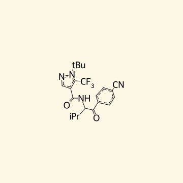 CC(C)C(NC(=O)c1cnn(C(C)(C)C)c1C(F)(F)F)C(=O)c1ccc(C#N)cc1